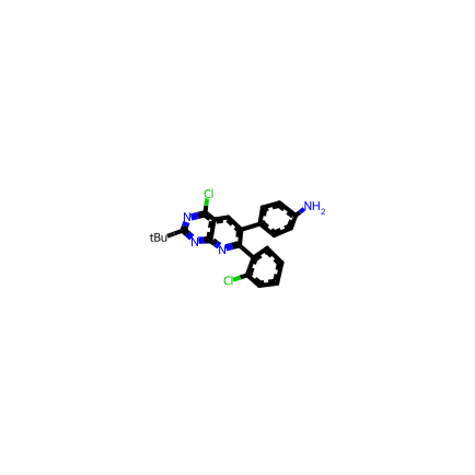 CC(C)(C)c1nc(Cl)c2cc(-c3ccc(N)cc3)c(-c3ccccc3Cl)nc2n1